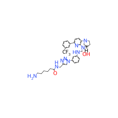 NCCCCCC(=O)NCc1cn(-c2cccc(NC(O)N3c4nc(-c5cccc(C(F)(F)F)c5)ccc4N4CC[C@H]3C4)c2)nn1